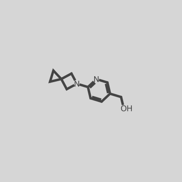 OCc1ccc(N2CC3(CC3)C2)nc1